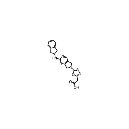 O=C(O)Cc1nnc(N2Cc3cnc(NC4Cc5ccccc5C4)nc3C2)o1